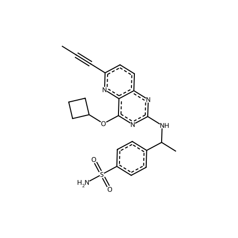 CC#Cc1ccc2nc(NC(C)c3ccc(S(N)(=O)=O)cc3)nc(OC3CCC3)c2n1